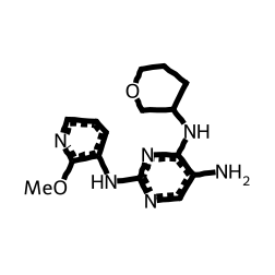 COc1ncccc1Nc1ncc(N)c(NC2CCCOC2)n1